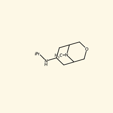 CC(C)NC1CC2COCC(C1)N2C